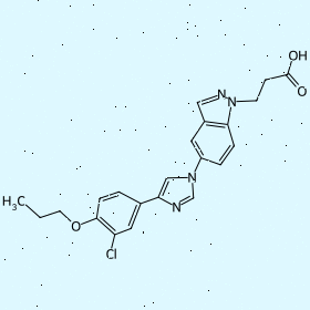 CCCOc1ccc(-c2cn(-c3ccc4c(cnn4CCC(=O)O)c3)cn2)cc1Cl